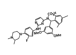 COc1cc(OC)cc(C(c2c(C)cc(C)cc2C)N(C(=O)O)c2ccnc(Nc3ccc(N4CCN(C)C(C)C4)c(F)c3)n2)c1